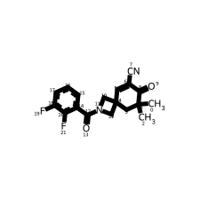 CC1(C)CC2(C=C(C#N)C1=O)CN(C(=O)c1cccc(F)c1F)C2